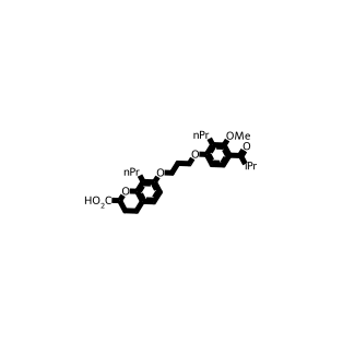 CCCc1c(OCCCOc2ccc(C(=O)C(C)C)c(OC)c2CCC)ccc2c1OC(C(=O)O)CC2